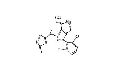 Cl.Cn1cc(Nc2nc(-c3c(F)cccc3Cl)n3cc[nH]c(=O)c23)cn1